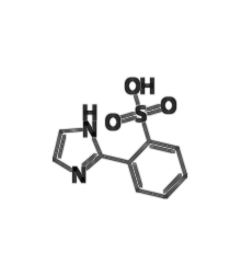 O=S(=O)(O)c1ccccc1-c1ncc[nH]1